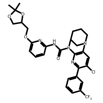 CC1(C)OCC(COc2cccc(NC(=O)N3c4nc(-c5cccc(C(F)(F)F)c5)c(Cl)cc4N4CCCC3C4)n2)O1